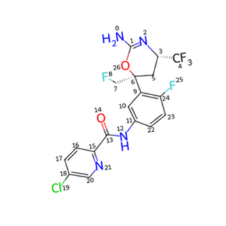 NC1=N[C@H](C(F)(F)F)C[C@@](CF)(c2cc(NC(=O)c3ccc(Cl)cn3)ccc2F)O1